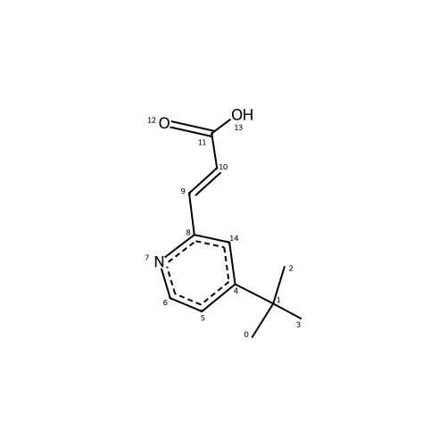 CC(C)(C)c1ccnc(C=CC(=O)O)c1